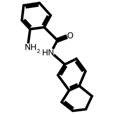 Nc1ccccc1C(=O)Nc1ccc2c(c1)C=CCC2